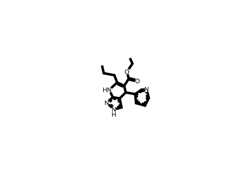 CCCC1=C(C(=O)OCC)C(c2cccnc2)c2c[nH]nc2N1